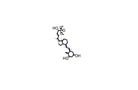 C=C1/C(=C\C=C2/CCC[C@@]3(C)C2CC[C@@H]3[C@H](C)/C=C/C(O)P(=O)(OC)OC)C[C@@H](O)C[C@@H]1O